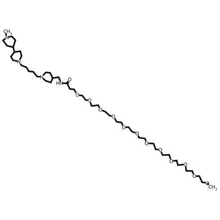 COCCOCCOCCOCCOCCOCCOCCOCCOCCOCCOCCOCCC(=O)NCC1CCN(CCCCCN2CCC(C3CCN(C)CC3)CC2)CC1